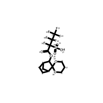 O=C(OC1C2CCC(C2)C12OCCCO2)C(F)(C(F)(F)C(F)(F)F)S(=O)(=O)O